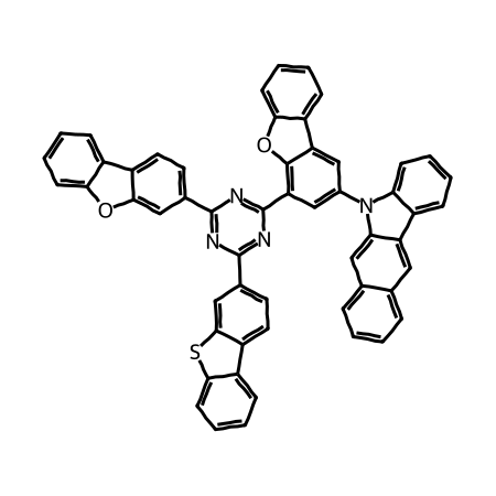 c1ccc2cc3c(cc2c1)c1ccccc1n3-c1cc(-c2nc(-c3ccc4c(c3)oc3ccccc34)nc(-c3ccc4c(c3)sc3ccccc34)n2)c2oc3ccccc3c2c1